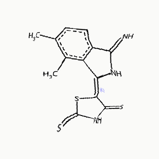 Cc1ccc2c(c1C)/C(=C1\SC(=S)NC1=S)NC2=N